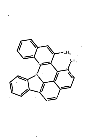 Cc1cc2ccccc2c2c1c1c3c(ccc4c5ccccc5n2c43)cc[n+]1C